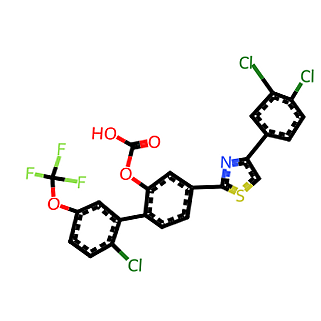 O=C(O)Oc1cc(-c2nc(-c3ccc(Cl)c(Cl)c3)cs2)ccc1-c1cc(OC(F)(F)F)ccc1Cl